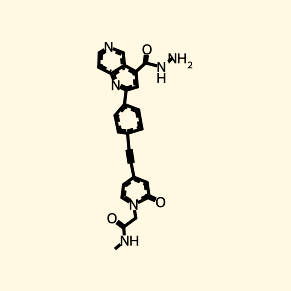 CNC(=O)Cn1ccc(C#Cc2ccc(-c3cc(C(=O)NN)c4cnccc4n3)cc2)cc1=O